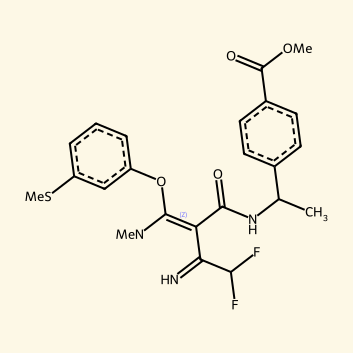 CN/C(Oc1cccc(SC)c1)=C(\C(=N)C(F)F)C(=O)NC(C)c1ccc(C(=O)OC)cc1